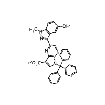 Cn1nc(-c2cnc3c(n2)c(C(=O)O)cn3C(c2ccccc2)(c2ccccc2)c2ccccc2)c2cc(O)ccc21